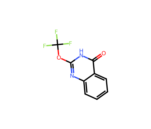 O=c1[nH]c(OC(F)(F)F)nc2ccccc12